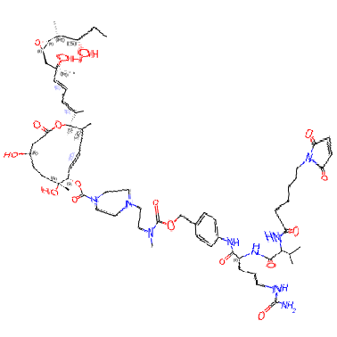 CC[C@H](O)[C@@H](C)[C@H]1O[C@@H]1C[C@@](C)(O)/C=C/C=C(\C)[C@H]1OC(=O)C[C@H](O)CC[C@@](C)(O)[C@@H](OC(=O)N2CCN(CCN(C)C(=O)OCc3ccc(NC(=O)[C@H](CCCNC(N)=O)NC(=O)C(NC(=O)CCCCCN4C(=O)C=CC4=O)C(C)C)cc3)CC2)/C=C/[C@@H]1C